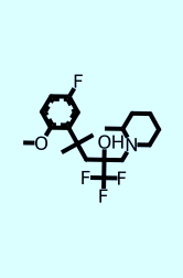 COc1ccc(F)cc1C(C)(C)CC(O)(CN1CCCCC1C)C(F)(F)F